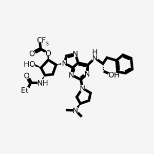 CCC(=O)N[C@H]1C[C@@H](n2cnc3c(N[C@@H](CO)Cc4ccccc4)nc(N4CC[C@@H](N(C)C)C4)nc32)[C@H](OC(=O)C(F)(F)F)[C@@H]1O